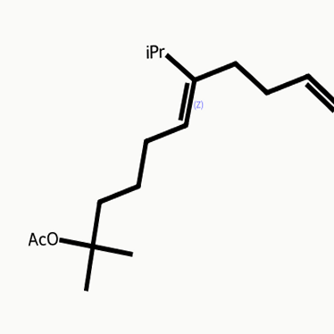 C=CCC/C(=C/CCCC(C)(C)OC(C)=O)C(C)C